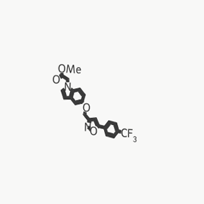 COC(=O)Cn1ccc2cc(OCc3cc(-c4ccc(C(F)(F)F)cc4)on3)ccc21